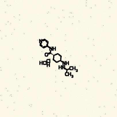 CC(C)NN[C@H]1CC[C@H](C(=O)Nc2ccncc2)CC1.Cl.Cl